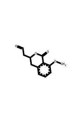 COc1cccc2c1C(=O)OC(CC=O)C2